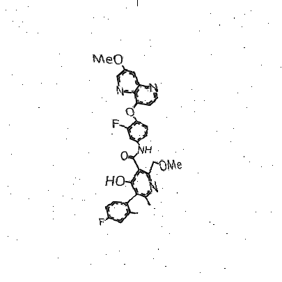 COCc1nc(C)c(-c2ccc(F)cc2C)c(O)c1C(=O)Nc1ccc(Oc2ccnc3cc(OC)cnc23)c(F)c1